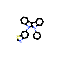 c1ccc(-n2c3ccccc3c3c4ccccc4n(-c4ccc5ncsc5c4)c32)cc1